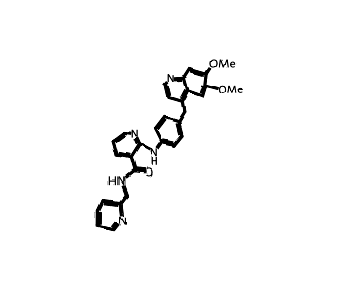 COc1cc2nccc(Cc3ccc(Nc4ncccc4C(=O)NCc4ccccn4)cc3)c2cc1OC